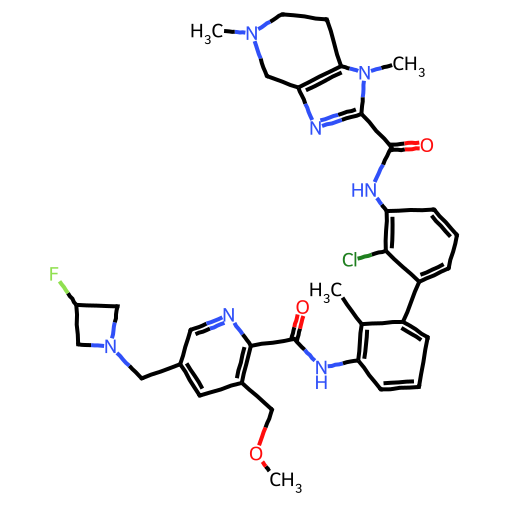 COCc1cc(CN2CC(F)C2)cnc1C(=O)Nc1cccc(-c2cccc(NC(=O)c3nc4c(n3C)CCN(C)C4)c2Cl)c1C